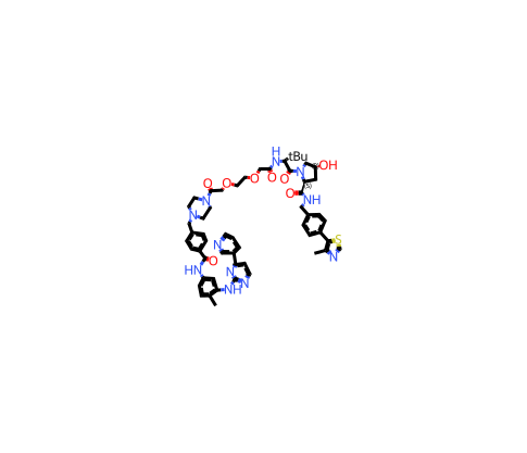 Cc1ccc(NC(=O)c2ccc(CN3CCN(C(=O)COCCOCC(=O)NC(C(=O)N4C[C@H](O)C[C@H]4C(=O)NCc4ccc(-c5scnc5C)cc4)C(C)(C)C)CC3)cc2)cc1Nc1nccc(-c2cccnc2)n1